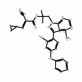 CC(C)(Cn1nc(-c2ccc(Oc3ccccc3)cc2F)c2c(N)ncnc21)OC(=O)C(C#N)=CC1CC1